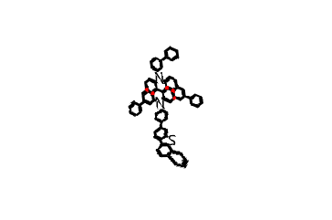 c1ccc(-c2cccc(N(c3ccc(-c4ccc5c(c4)sc4c6ccccc6ccc54)cc3)c3ccccc3-c3ccccc3N(c3cccc(-c4ccccc4)c3)c3ccc4cc(-c5ccccc5)ccc4c3)c2)cc1